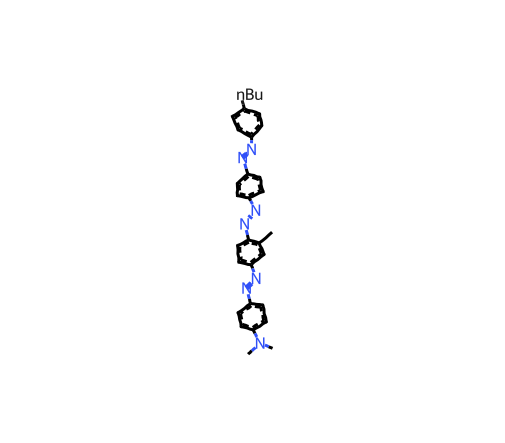 CCCCc1ccc(N=Nc2ccc(N=Nc3ccc(N=Nc4ccc(N(C)C)cc4)cc3C)cc2)cc1